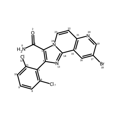 NC(=O)c1c(-c2c(Cl)cccc2Cl)nc2c3cc(Br)cnc3ccn12